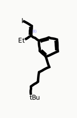 CC/C(=C\I)c1cccc(CCCCC(C)(C)C)c1